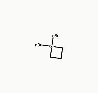 CCCC[Si]1(CCCC)CCC1